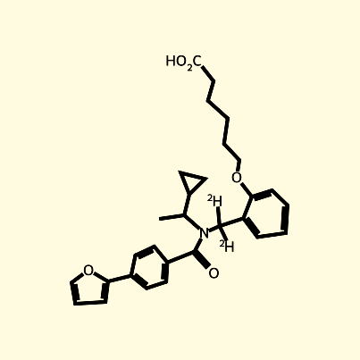 [2H]C([2H])(c1ccccc1OCCCCCC(=O)O)N(C(=O)c1ccc(-c2ccco2)cc1)C(C)C1CC1